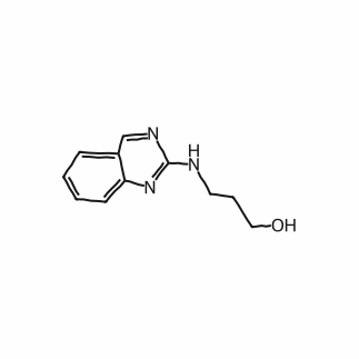 OCCCNc1ncc2ccccc2n1